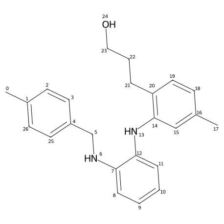 Cc1ccc(CNc2ccccc2Nc2cc(C)ccc2CCCO)cc1